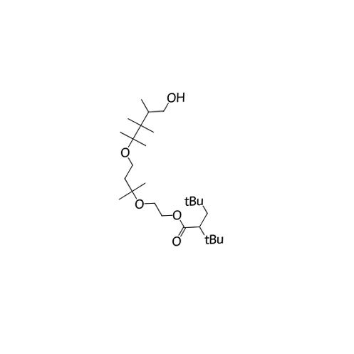 CC(CO)C(C)(C)C(C)(C)OCCC(C)(C)OCCOC(=O)C(CC(C)(C)C)C(C)(C)C